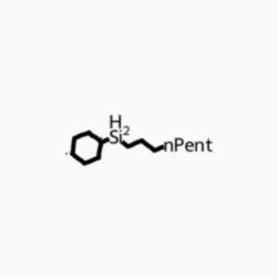 CCCCCCCC[SiH2][C]1CC[CH]CC1